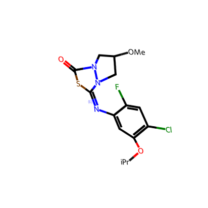 COC1Cn2c(=O)s/c(=N/c3cc(OC(C)C)c(Cl)cc3F)n2C1